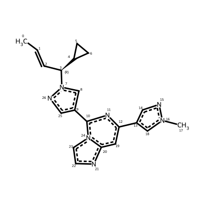 CC=C[C@@H](C1CC1)n1cc(-c2nc(-c3cnn(C)c3)cc3nccn23)cn1